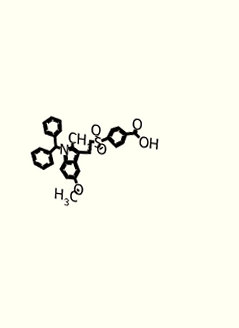 COc1ccc2c(c1)c(CCS(=O)(=O)c1ccc(C(=O)O)cc1)c(C)n2C(c1ccccc1)c1ccccc1